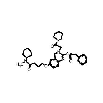 CN(C(=O)CCCOc1ccc2c(c1)CN(CC(=O)N1CCCCC1)C(NC(=O)Cc1ccccc1)=N2)C1CCCCC1